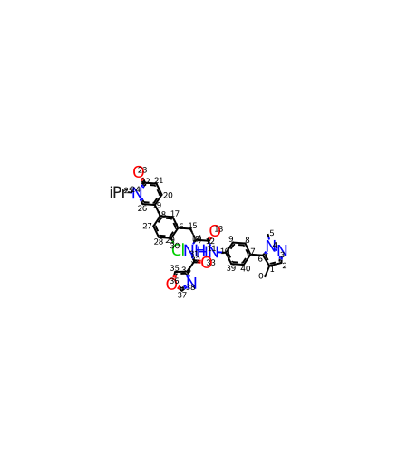 Cc1cnn(C)c1-c1ccc(NC(=O)[C@H](Cc2cc(-c3ccc(=O)n(C(C)C)c3)ccc2Cl)NC(=O)c2cocn2)cc1